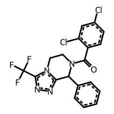 O=C(c1ccc(Cl)cc1Cl)N1CCn2c(nnc2C(F)(F)F)C1c1ccccc1